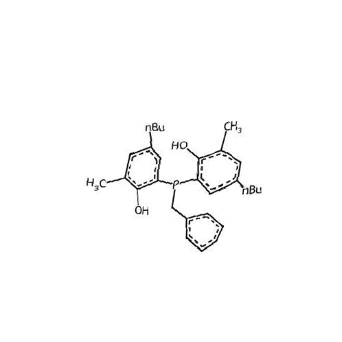 CCCCc1cc(C)c(O)c(P(Cc2ccccc2)c2cc(CCCC)cc(C)c2O)c1